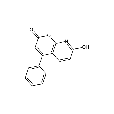 O=c1cc(-c2ccccc2)c2ccc(O)nc2o1